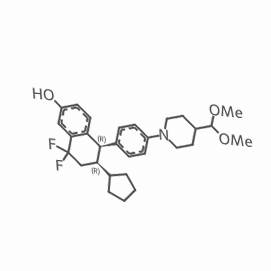 COC(OC)C1CCN(c2ccc([C@@H]3c4ccc(O)cc4C(F)(F)C[C@@H]3C3CCCC3)cc2)CC1